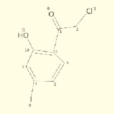 O=C(CCl)c1ccc(I)cc1O